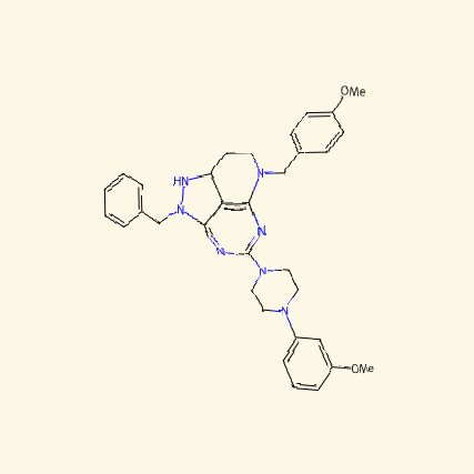 COc1ccc(CN2CCC3NN(Cc4ccccc4)c4nc(N5CCN(c6cccc(OC)c6)CC5)nc2c43)cc1